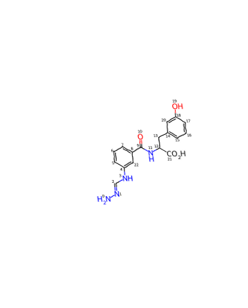 NN=CNc1cccc(C(=O)NC(Cc2cccc(O)c2)C(=O)O)c1